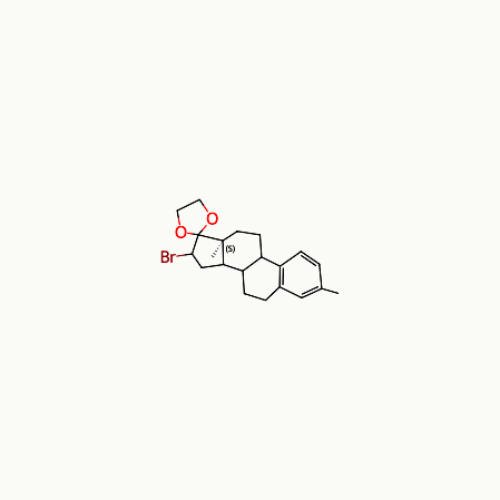 Cc1ccc2c(c1)CCC1C2CC[C@@]2(C)C1CC(Br)C21OCCO1